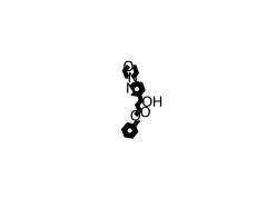 O=C(C[C@@H](O)c1ccc(N2CCOCC2)nc1)OCc1ccccc1